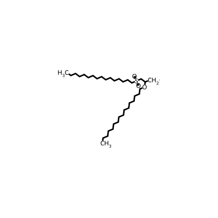 [CH2]C(CS(=O)(=O)CCCCCCCCCCCCCCCC)OCCCCCCCCCCCCCCCC